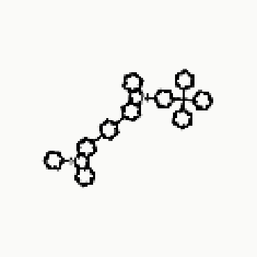 c1ccc(-n2c3ccccc3c3cc(-c4ccc(-c5ccc6c(c5)c5ccccc5n6-c5ccc(C(c6ccccc6)(c6ccccc6)c6ccccc6)cc5)cc4)ccc32)cc1